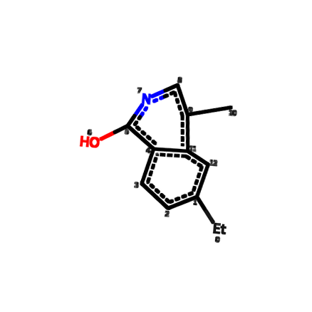 CCc1ccc2c(O)ncc(C)c2c1